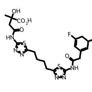 CC1C=C(CC(=O)Nc2nnc(CCCCc3nnc(NC(=O)CC(C)(O)C(=O)O)s3)s2)C=C(F)C1